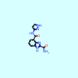 NC(=O)c1nc2c(C(=O)Nc3cc[nH]n3)cccc2[nH]1